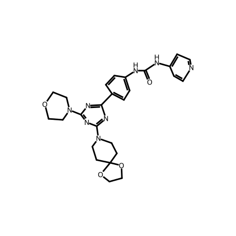 O=C(Nc1ccncc1)Nc1ccc(-c2nc(N3CCOCC3)nc(N3CCC4(CC3)OCCO4)n2)cc1